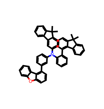 CC1(C)c2ccccc2-c2cc(N(c3cccc(-c4cccc5oc6ccccc6c45)c3)c3ccccc3-c3cccc4c3-c3ccccc3C4(C)C)ccc21